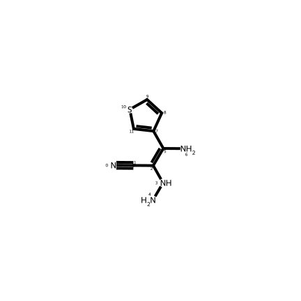 N#C/C(NN)=C(/N)c1ccsc1